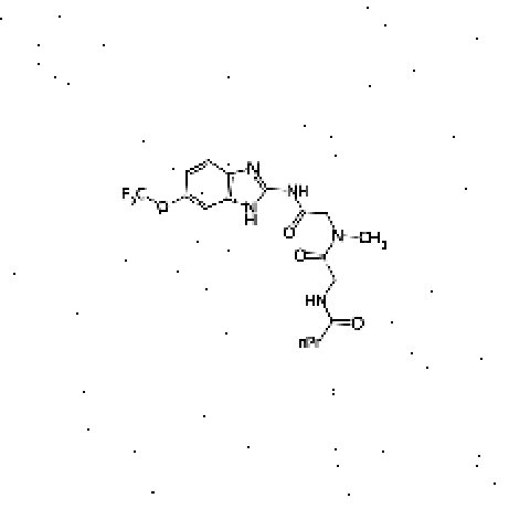 CCCC(=O)NCC(=O)N(C)CC(=O)Nc1nc2ccc(OC(F)(F)F)cc2[nH]1